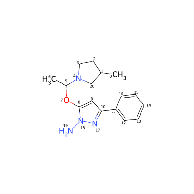 CC1CCN(C(C)Oc2cc(-c3ccccc3)nn2N)C1